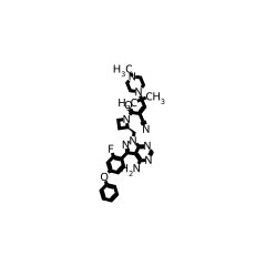 CN1CCN(C(C)(C)/C=C(/C#N)C(=O)N2CC[C@@H]2Cn2nc(-c3ccc(Oc4ccccc4)cc3F)c3c(N)ncnc32)CC1